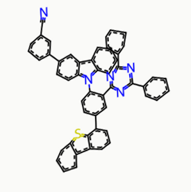 N#Cc1cccc(-c2ccc3c(c2)c2ccccc2n3-c2ccc(-c3cccc4c3sc3ccccc34)cc2-c2nc(-c3ccccc3)nc(-c3ccccc3)n2)c1